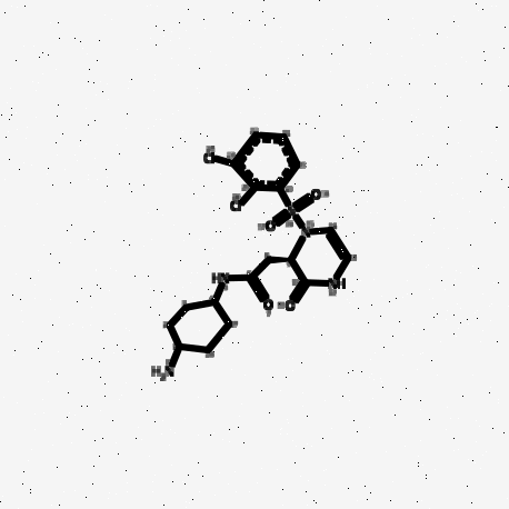 NC1CCC(NC(=O)C[C@@H]2C(=O)NC=CN2S(=O)(=O)c2cccc(Cl)c2Cl)CC1